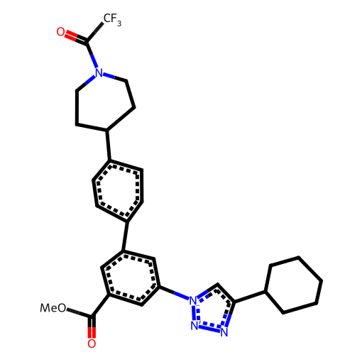 COC(=O)c1cc(-c2ccc(C3CCN(C(=O)C(F)(F)F)CC3)cc2)cc(-n2cc(C3CCCCC3)nn2)c1